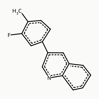 Cc1ccc(-c2cnc3ccccc3c2)cc1F